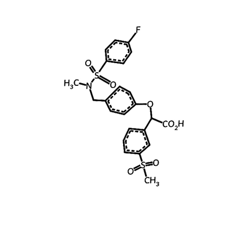 CN(Cc1ccc(OC(C(=O)O)c2cccc(S(C)(=O)=O)c2)cc1)S(=O)(=O)c1ccc(F)cc1